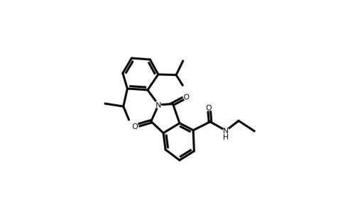 CCNC(=O)c1cccc2c1C(=O)N(c1c(C(C)C)cccc1C(C)C)C2=O